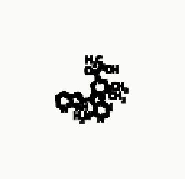 C[C@@H](O)C(=O)N1Cc2c(-c3cc4cccnc4[nH]3)c3c(N)ncnc3n2C(C)(C)C1